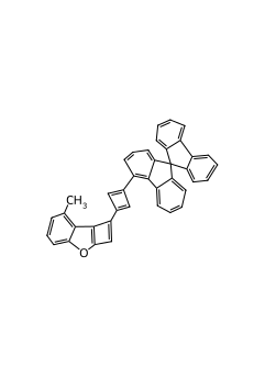 Cc1cccc2oc3c(c12)C(C1=CC(c2cccc4c2-c2ccccc2C42c4ccccc4-c4ccccc42)=C1)=C3